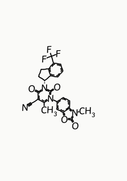 Cc1c(C#N)c(=O)n([C@@H]2CCc3c2cccc3C(F)(F)F)c(=O)n1-c1ccc2c(c1)oc(=O)n2C